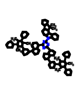 Cc1c(-c2ccccc2)c(C)c(-c2cccc(-c3cccc4c(-c5nc(-c6cccc7c(-c8cccc(-c9c(C)c(-c%10ccccc%10)c(C)c(-c%10ccccc%10)c9C)c8)cccc67)nc(-n6c7ccccc7c7c8c(ccc76)-c6ccccc6C8(C)C)n5)cccc34)c2)c(C)c1-c1ccccc1